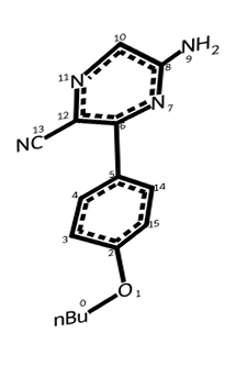 CCCCOc1ccc(-c2nc(N)cnc2C#N)cc1